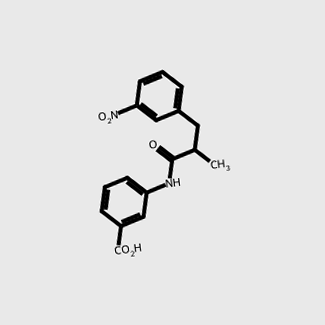 CC(Cc1cccc([N+](=O)[O-])c1)C(=O)Nc1cccc(C(=O)O)c1